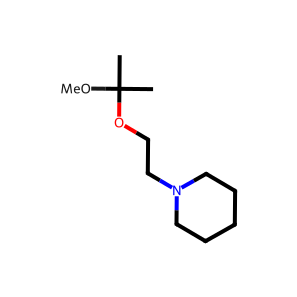 COC(C)(C)OCCN1CCCCC1